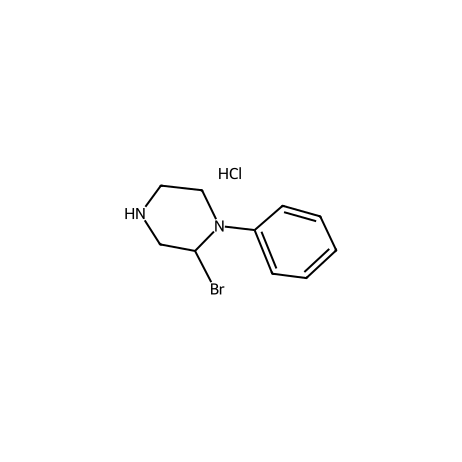 BrC1CNCCN1c1ccccc1.Cl